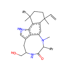 C=CC1(C)CCC(C)(C(C)C)c2c1cc1c3c(c[nH]c23)CC(CO)NC(=O)C(C(C)C)N1C